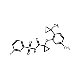 Cc1ccc(C2(C)CC2)c(OC2(C(=O)NS(=O)(=O)c3cccc(F)n3)CC2)c1